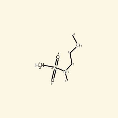 COCCN(C)S(N)(=O)=O